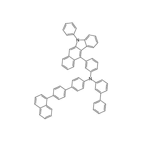 c1ccc(-c2cccc(N(c3ccc(-c4ccc(-c5cccc6ccccc56)cc4)cc3)c3cccc(-c4c5ccccc5cc5c4c4ccccc4n5-c4ccccc4)c3)c2)cc1